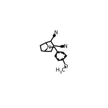 COc1ccc(CN2C3CCC2C(C#N)C(C#N)C3)cc1